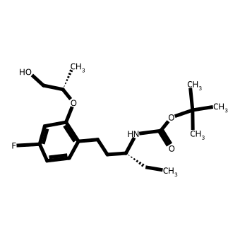 CC[C@H](CCc1ccc(F)cc1O[C@@H](C)CO)NC(=O)OC(C)(C)C